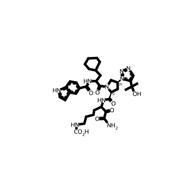 CC(C)(O)c1cnnn1[C@H]1C[C@@H](C(=O)NC(CCCCNC(=O)O)C(=O)C(N)=O)N(C(=O)C(CC2CCCCC2)NC(=O)c2ccc3[nH]ccc3c2)C1